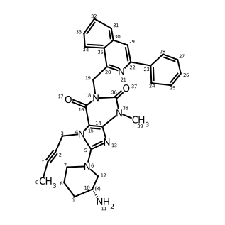 CC#CCn1c(N2CCC[C@@H](N)C2)nc2c1c(=O)n(Cc1nc(-c3ccccc3)cc3ccccc13)c(=O)n2C